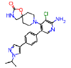 CC(C)n1cc(-c2ccc(-c3cnc(N)c(Cl)c3N3CCC4(CC3)CNC(=O)O4)cc2)cn1